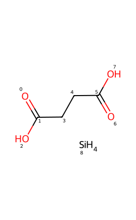 O=C(O)CCC(=O)O.[SiH4]